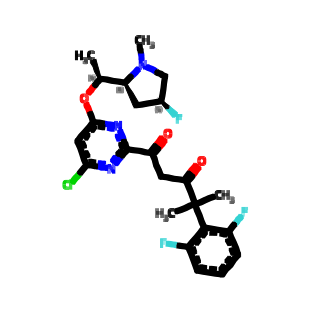 C[C@H](Oc1cc(Cl)nc(C(=O)CC(=O)C(C)(C)c2c(F)cccc2F)n1)[C@@H]1C[C@H](F)CN1C